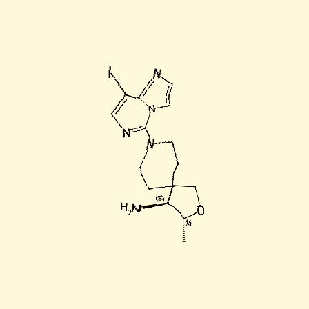 C[C@H]1OCC2(CCN(c3ncc(I)c4nccn34)CC2)[C@@H]1N